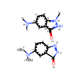 CCCCN(CCCC)c1ccc2c(c1)C(=O)N=N2.CN(C)c1ccc2c(c1)c(=O)[nH]n2C